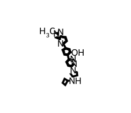 Cn1cc2nc(-c3ccc(-c4ccc(N5CCC(NC6CCC6)C5)nn4)c(O)c3)ccc2n1